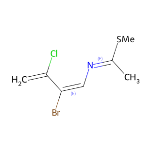 C=C(Cl)/C(Br)=C\N=C(/C)SC